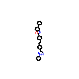 C(=C\c1ccc(-c2nc3cc(-c4ccccc4)ccc3o2)cc1)/c1ccc(-c2cnn(-c3ccccc3)n2)cc1